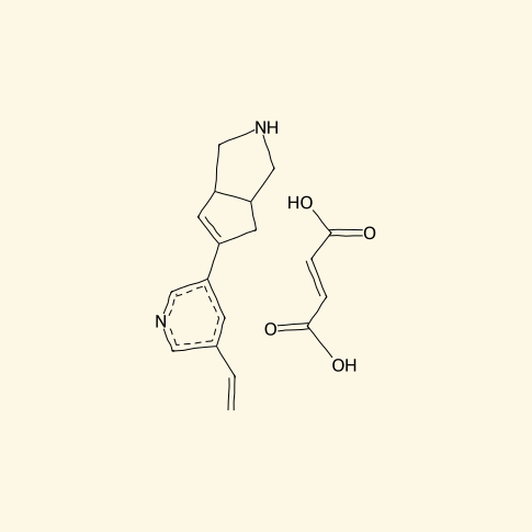 C=Cc1cncc(C2=CC3CNCC3C2)c1.O=C(O)C=CC(=O)O